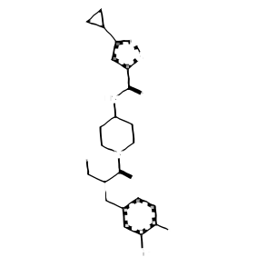 CC(C)c1cc(C[C@@H](CO)C(=O)N2CCC(NC(=O)c3cc(C4CC4)on3)CC2)ccc1O